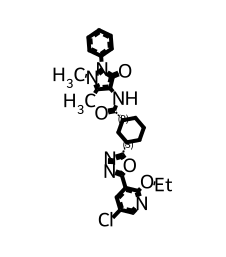 CCOc1ncc(Cl)cc1-c1nnc([C@H]2CCC[C@@H](C(=O)Nc3c(C)n(C)n(-c4ccccc4)c3=O)C2)o1